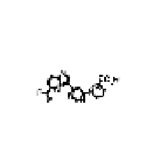 O=C(O)[C@@H]1CCCN(c2cc(-c3cnc4ccc(C(F)F)nn34)ncn2)C1